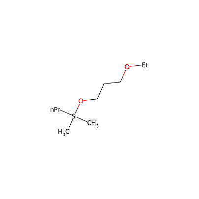 [CH2]CC[Si](C)(C)OCCCOCC